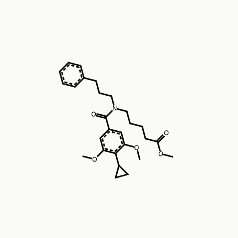 COC(=O)CCCCN(CCCc1ccccc1)C(=O)c1cc(OC)c(C2CC2)c(OC)c1